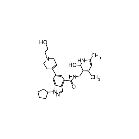 CC1=CC(C)=C(CNC(=O)c2cc(C3=CCN(CCO)CC3)cc3c2cnn3C2CCCC2)C(O)N1